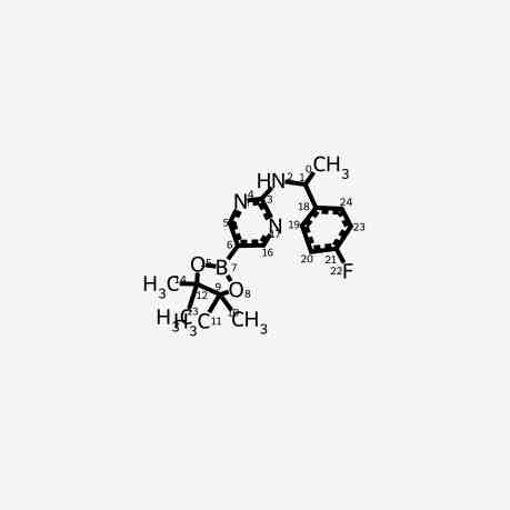 CC(Nc1ncc(B2OC(C)(C)C(C)(C)O2)cn1)c1ccc(F)cc1